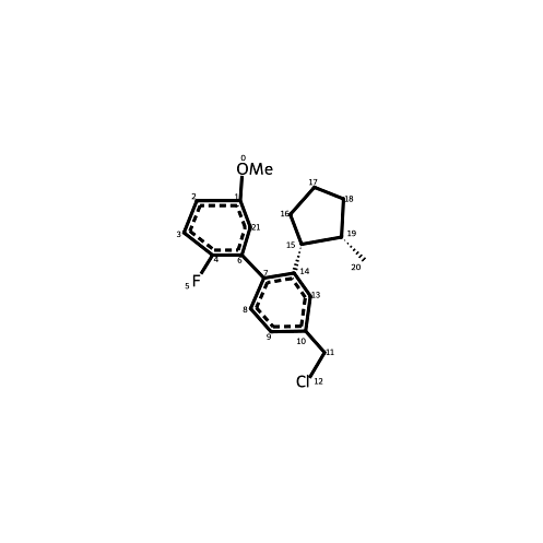 COc1ccc(F)c(-c2ccc(CCl)cc2[C@@H]2CCC[C@@H]2C)c1